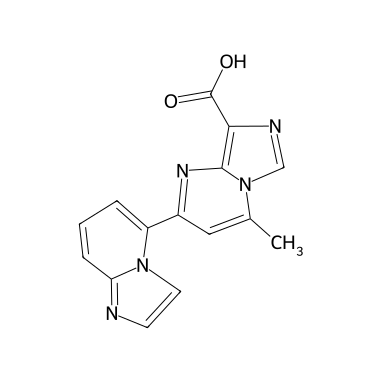 Cc1cc(-c2cccc3nccn23)nc2c(C(=O)O)ncn12